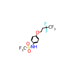 O=S(=O)(Nc1ccc(OCCC(F)(F)C(F)(F)F)cc1)C(F)(F)F